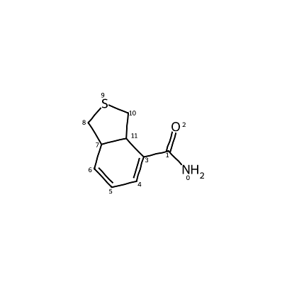 NC(=O)C1=CC=CC2CSCC12